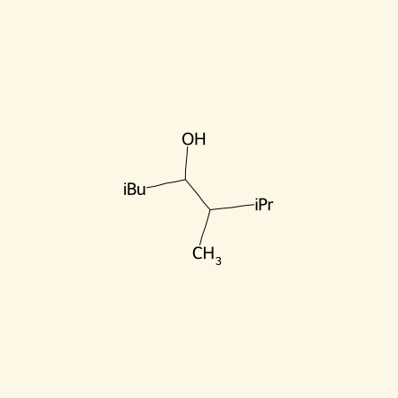 CCC(C)C(O)C(C)C(C)C